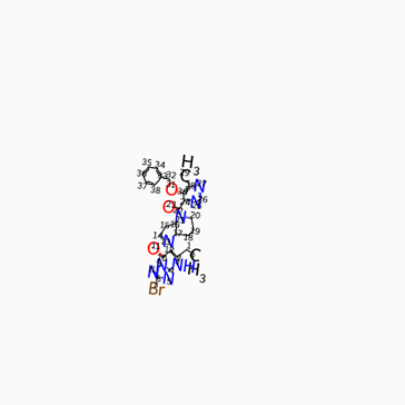 CCc1[nH]c2nc(Br)nn2c(=O)c1N1CCC2C1CCCN2C(=O)c1ncnc(C)c1OCc1ccccc1